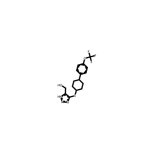 OCc1[nH]nnc1SC1CCC(c2ccc(OC(F)(F)F)cc2)CC1